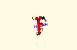 CC1(C)CCC(CN2CCN(c3ccc(C(=O)NS(=O)(=O)c4cnc(OC[C@@H]5CCN(CC(F)F)C5)c(Cl)c4)c(Oc4cccc5[nH]ncc45)c3)CC2)=C(c2ccc(Cl)cc2)C1